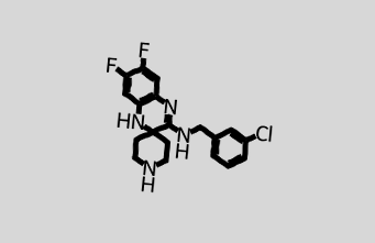 Fc1cc2c(cc1F)NC1(CCNCC1)C(NCc1cccc(Cl)c1)=N2